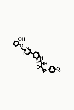 COc1ccc([C@@H]2CC2C(=O)Nc2nc3ccc(-c4cnc(CO[C@H]5CCC[C@@H]5O)nc4)cc3s2)cc1